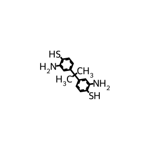 CC(C)(c1ccc(S)c(N)c1)c1ccc(S)c(N)c1